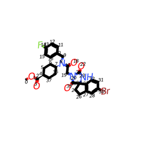 COC(=O)[C@H]1CC[C@H](N(Cc2ccc(F)cc2)C(=O)CN2C(=O)NC3(CCc4cc(Br)ccc43)C2=O)CC1